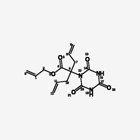 C=CCOC(=O)C(CC=C)(CC=C)n1c(=O)[nH]c(=O)[nH]c1=O